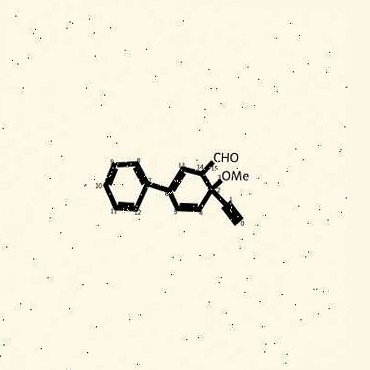 C#CC1(OC)C=CC(c2ccccc2)=CC1C=O